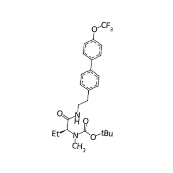 CC[C@@H](C(=O)NCCc1ccc(-c2ccc(OC(F)(F)F)cc2)cc1)N(C)C(=O)OC(C)(C)C